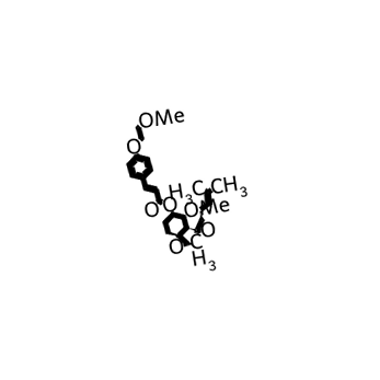 COCCOc1ccc(/C=C/C(=O)O[C@@H]2CC[C@]3(CO3)[C@@H](C3(C)O[C@H]3CC=C(C)C)[C@@H]2OC)cc1